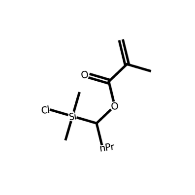 C=C(C)C(=O)OC(CCC)[Si](C)(C)Cl